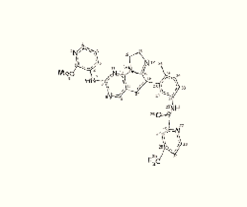 COc1ncccc1Nc1ncc2c(n1)N1CCN=C1C(c1cc(NC(=O)c3cc(C(F)(F)F)ccn3)ccc1C)=C2